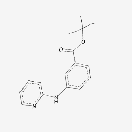 CC(C)(C)OC(=O)c1cccc(Nc2ccccn2)c1